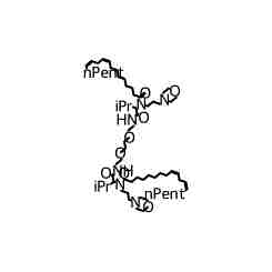 CCCCC/C=C\C/C=C\CCCCCCCC(=O)N(CCCN1CCOCC1)C(C(=O)NCCOCCOCCNC(=O)C(C(C)C)N(CCCN1CCOCC1)C(=O)CCCCCCC/C=C\C/C=C\CCCCC)C(C)C